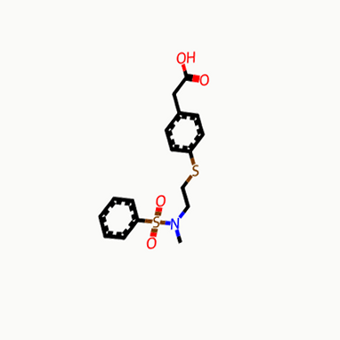 CN(CCSc1ccc(CC(=O)O)cc1)S(=O)(=O)c1ccccc1